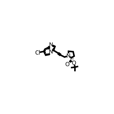 CC(C)(C)OC(=O)[C@H]1CCCN1CC#Cc1cnc2cc(Cl)ccn12